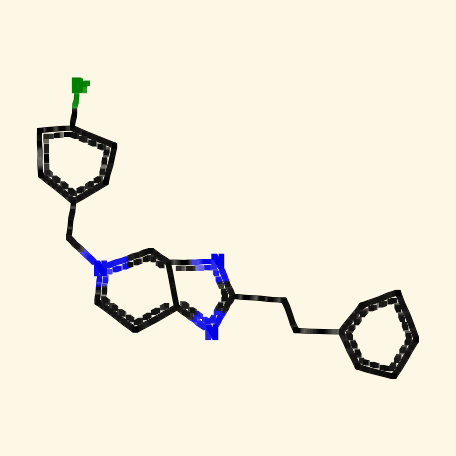 Brc1ccc(Cn2ccc3nc(CCc4ccccc4)nc-3c2)cc1